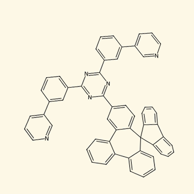 c1cncc(-c2cccc(-c3nc(-c4cccc(-c5cccnc5)c4)nc(-c4ccc5c(c4)-c4ccccc4-c4ccccc4C54c5ccccc5-c5ccccc54)n3)c2)c1